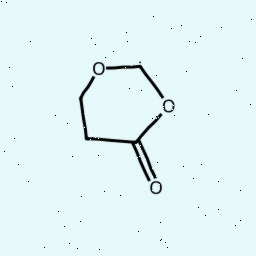 O=C1CCO[CH]O1